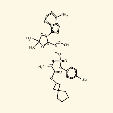 C[C@H](NP(=O)(OC[C@@H](OC#N)[C@H]1OC(C)(C)O[C@H]1c1ccc2c(N)ncnn12)Oc1ccc(C(C)(C)C)cc1)C(=O)OC1CC2(CCCC2)C1